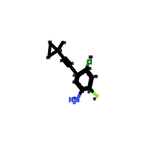 CC1(C#Cc2cc(N)c(F)cc2Cl)CC1